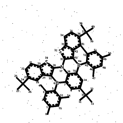 Cc1cc(C)c(B2c3cc(C(C)(C)C)cc4c3N(c3sc5ccc(C(C)(C)C)cc5c32)c2sc3ccc(C(C)(C)C)c5c3c2B4c2c(C)cc(C)cc2-5)c(C)c1